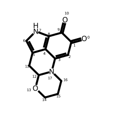 O=C1C=C2c3c(c[nH]c3C1=O)CC1OCCCN21